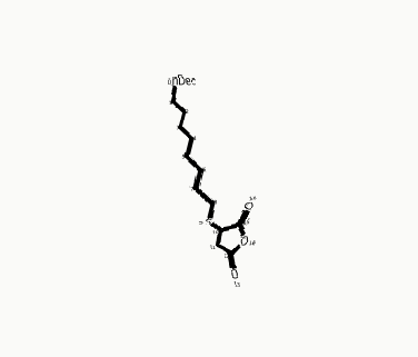 CCCCCCCCCCCCCCCCCCSC1CC(=O)OC1=O